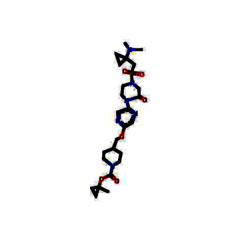 CN(C)C1(CS(=O)(=O)N2CCN(c3cnc(OCC4CCN(C(=O)OC5(C)CC5)CC4)cn3)C(=O)C2)CC1